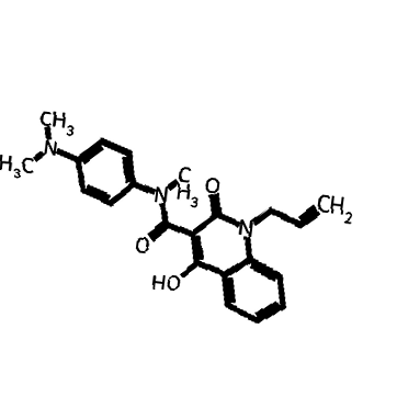 C=CCn1c(=O)c(C(=O)N(C)c2ccc(N(C)C)cc2)c(O)c2ccccc21